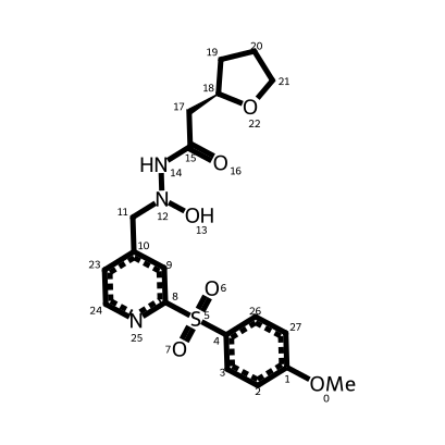 COc1ccc(S(=O)(=O)c2cc(CN(O)NC(=O)C[C@H]3CCCO3)ccn2)cc1